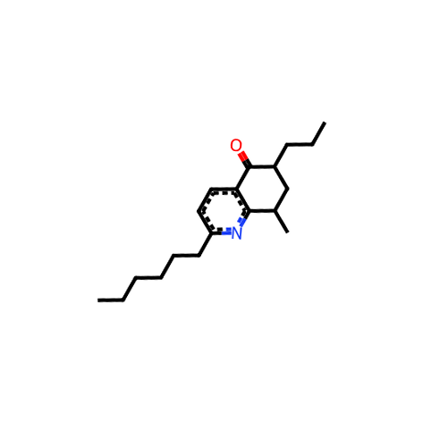 CCCCCCc1ccc2c(n1)C(C)CC(CCC)C2=O